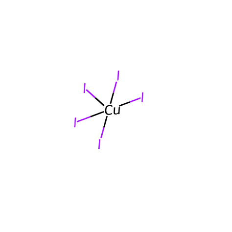 [I][Cu]([I])([I])([I])[I]